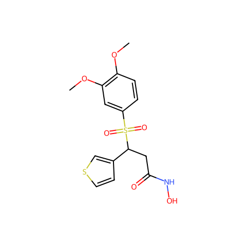 COc1ccc(S(=O)(=O)C(CC(=O)NO)c2ccsc2)cc1OC